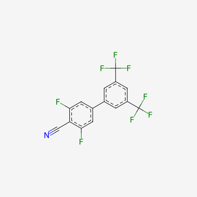 N#Cc1c(F)cc(-c2cc(C(F)(F)F)cc(C(F)(F)F)c2)cc1F